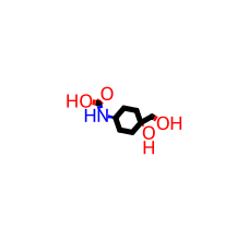 O=C(O)N[C@H]1CC[C@@](O)(CO)CC1